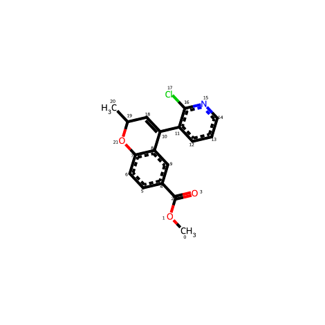 COC(=O)c1ccc2c(c1)C(c1cccnc1Cl)=CC(C)O2